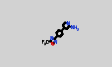 Nc1cc(-c2ccc(-c3noc(C(F)(F)F)n3)cc2)ccn1